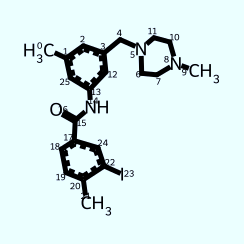 Cc1cc(CN2CCN(C)CC2)cc(NC(=O)c2ccc(C)c(I)c2)c1